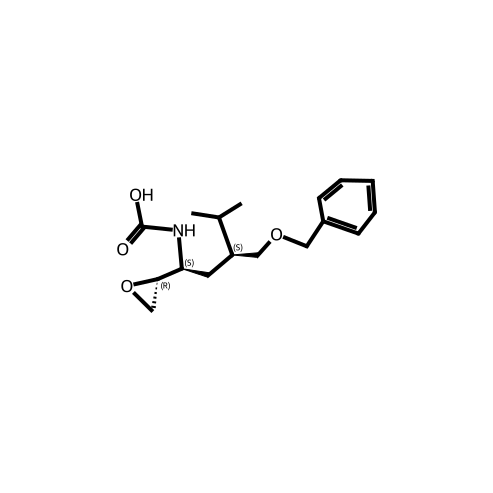 CC(C)[C@@H](COCc1ccccc1)C[C@H](NC(=O)O)[C@@H]1CO1